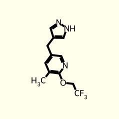 Cc1cc(Cc2cn[nH]c2)cnc1OCC(F)(F)F